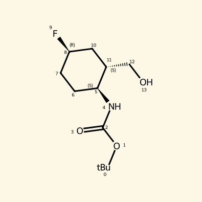 CC(C)(C)OC(=O)N[C@H]1CC[C@@H](F)C[C@@H]1CO